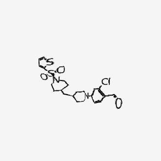 O=Cc1ccc(N2CCC(CC3CCN(S(=O)(=O)c4cccs4)CC3)CC2)cc1Cl